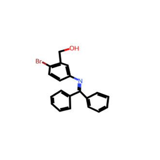 OCc1cc(N=C(c2ccccc2)c2ccccc2)ccc1Br